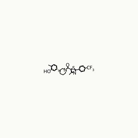 Cc1ccc([C@H]2CCCN(C(=O)c3sc(-c4ccc(C(F)(F)F)cc4)nc3C)C2)cc1O